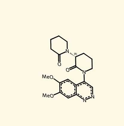 COc1cc2nncc(N3CCC[C@@H](N4CCCCC4=O)C3=O)c2cc1OC